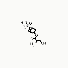 CCC(C)C(=O)OC1CC2CC1CC2S(N)(=O)=O